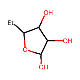 CCC1OC(O)C(O)C1O